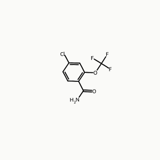 NC(=O)c1ccc(Cl)cc1OC(F)(F)F